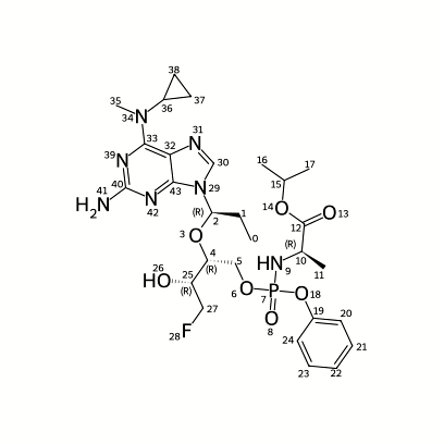 CC[C@@H](O[C@H](COP(=O)(N[C@H](C)C(=O)OC(C)C)Oc1ccccc1)[C@@H](O)CF)n1cnc2c(N(C)C3CC3)nc(N)nc21